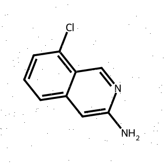 Nc1cc2cccc(Cl)c2cn1